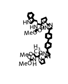 COC(=O)N[C@@H](Cc1c[nH]c2ccccc12)C(=O)N1CCC[C@H]1c1ncc(-c2ccc(-c3ccc(-c4cnc([C@@H]5CCCN5C(=O)[C@@H](NC(=O)OC)[C@@H](C)OC)[nH]4)cc3)cc2)[nH]1